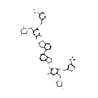 CS(=O)(=O)C1=CNCC(COc2nc(O[C@H]3CCc4c(-c5cccc6c5CC[C@@H]6Oc5nc(OCc6cncc(S(C)(=O)=O)c6)c(CN6C[C@@H](O)C[C@H]6C(=O)O)cc5Cl)cccc43)c(Cl)cc2CN2C[C@@H](O)C[C@H]2C(=O)O)=C1